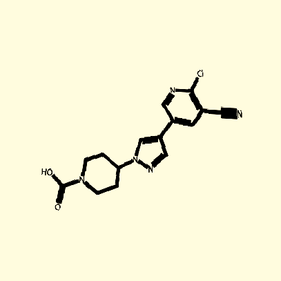 N#Cc1cc(-c2cnn(C3CCN(C(=O)O)CC3)c2)cnc1Cl